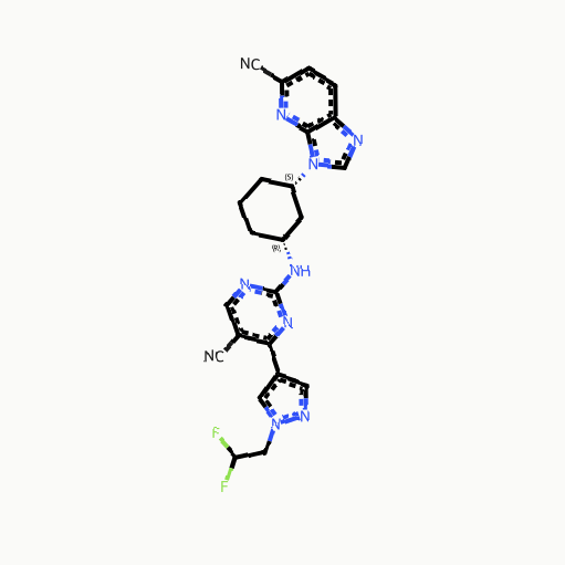 N#Cc1ccc2ncn([C@H]3CCC[C@@H](Nc4ncc(C#N)c(-c5cnn(CC(F)F)c5)n4)C3)c2n1